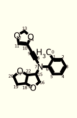 Cc1ccccc1N(C#CC1=COCO1)C1COC2CCOC21